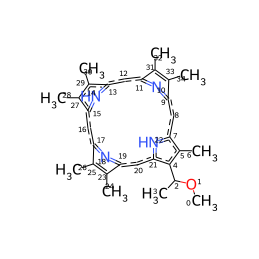 COC(C)c1c(C)c2cc3nc(cc4[nH]c(cc5nc(cc1[nH]2)C(C)=C5C)c(C)c4C)C(C)=C3C